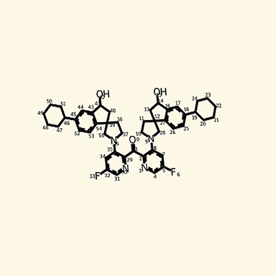 O=C(c1ncc(F)cc1N1CCC2(CC(O)c3cc(C4CCCCC4)ccc32)C1)c1ncc(F)cc1N1CCC2(CC(O)c3cc(C4CCCCC4)ccc32)C1